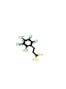 S=C(S)CCc1c(Cl)c(Cl)c(Cl)c(Cl)c1Cl